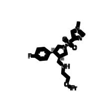 CC(C)OCCNC[C@@H]1CN(S(=O)(=O)c2cn(C)cn2)C[C@H]1c1ccc(F)cc1